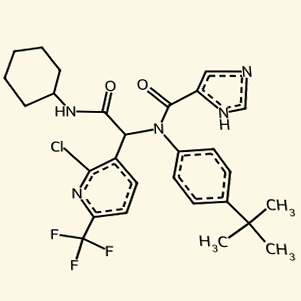 CC(C)(C)c1ccc(N(C(=O)c2cnc[nH]2)C(C(=O)NC2CCCCC2)c2ccc(C(F)(F)F)nc2Cl)cc1